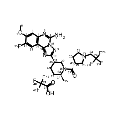 COc1cc2nc(N)n3nc([C@@H]4CC[C@H](C)N(C(=O)[C@@H]5CCN(CC(F)(F)F)C5)C4)nc3c2cc1F.O=C(O)C(F)(F)F